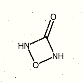 O=c1[nH]o[nH]1